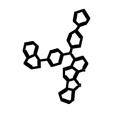 c1ccc(-c2ccc(N(c3ccc(-c4cccc5ccccc45)cc3)c3ccnc4c3ccc3c5ccccc5oc34)cc2)cc1